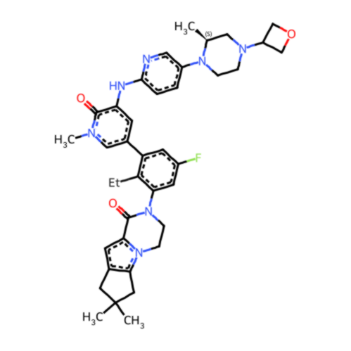 CCc1c(-c2cc(Nc3ccc(N4CCN(C5COC5)C[C@@H]4C)cn3)c(=O)n(C)c2)cc(F)cc1N1CCn2c(cc3c2CC(C)(C)C3)C1=O